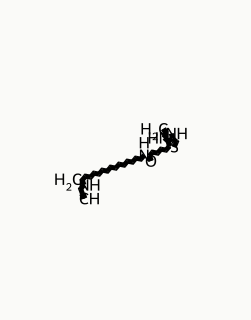 C#CCNC(=C)CCCCCCCCCCCCCCNC(=O)CCCCC1SCC2NC(=C)NC21